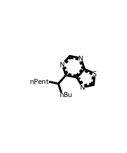 CCCCCC(CCCC)c1ncnc2scnc12